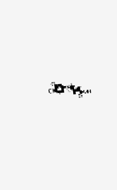 C/C(C(=O)O)=C(/C)C(=O)ONc1ccc(Cl)c(Cl)c1